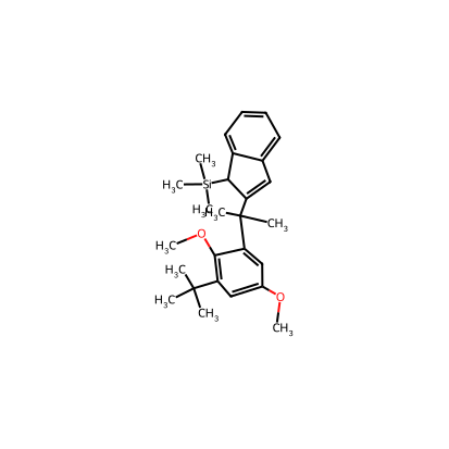 COc1cc(C(C)(C)C)c(OC)c(C(C)(C)C2=Cc3ccccc3C2[Si](C)(C)C)c1